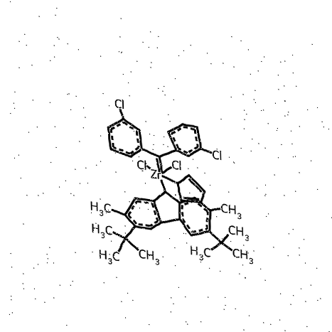 Cc1cc2c(cc1C(C)(C)C)-c1cc(C(C)(C)C)c(C)cc1[CH]2[Zr]([Cl])([Cl])(=[C](c1cccc(Cl)c1)c1cccc(Cl)c1)[CH]1C=CC=C1